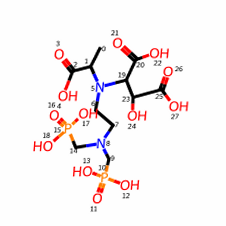 CC(C(=O)O)N(CCN(CP(=O)(O)O)CP(=O)(O)O)C(C(=O)O)C(O)C(=O)O